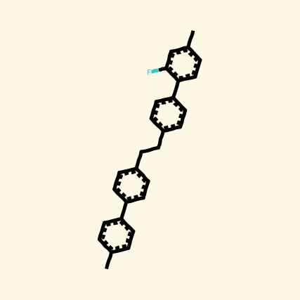 Cc1ccc(-c2ccc(CCc3ccc(-c4ccc(C)cc4F)cc3)cc2)cc1